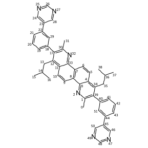 Cc1nc2c(ccc3c2ccc2c(CC(C)C)c(-c4cccc(-c5cncnc5)c4)c(C)nc23)c(CC(C)C)c1-c1cccc(-c2cncnc2)c1